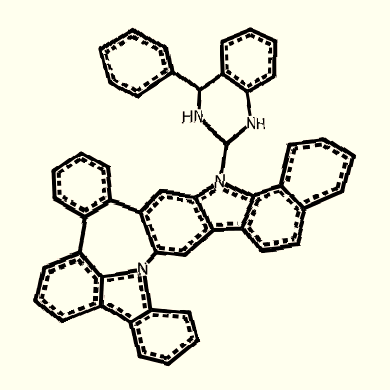 c1ccc(C2NC(n3c4cc5c(cc4c4ccc6ccccc6c43)-n3c4ccccc4c4cccc(c43)-c3ccccc3-5)Nc3ccccc32)cc1